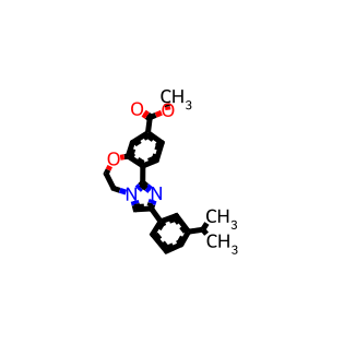 COC(=O)c1ccc2c(c1)OCCn1cc(-c3cccc(C(C)C)c3)nc1-2